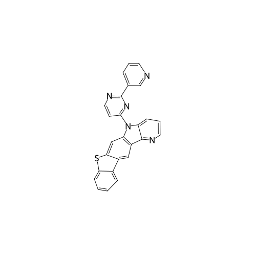 c1cncc(-c2nccc(-n3c4cc5sc6ccccc6c5cc4c4ncccc43)n2)c1